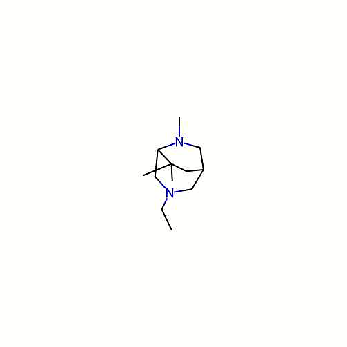 CCN1CC2CN(C)C(C1)C(C)(C)C2